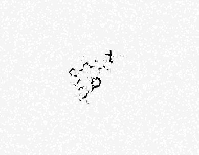 CCC(C)C(C(CC(=O)N1CCC[C@H]1C(OC)C(C)C(=O)NC(Cc1ccccc1)C(=O)NC(C)(C)C)OC)N(C)C(=O)C(NC(=O)C(C)(C)NC)C(C)C